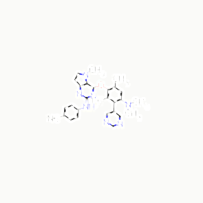 Cc1cc(N(C)C)c(-c2cncnc2)c(C)c1Oc1nc(Nc2ccc(C#N)cc2)nc2ccn(C)c12